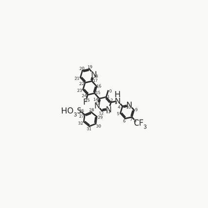 Cc1c(Nc2ccc(C(F)(F)F)cn2)ncnc1-c1cc2ncccc2cc1F.O=S(=O)(O)c1ccccc1